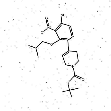 CC(C)(C)OC(=O)N1CC=C(c2ccc(N)c([N+](=O)[O-])c2OCC(F)F)CC1